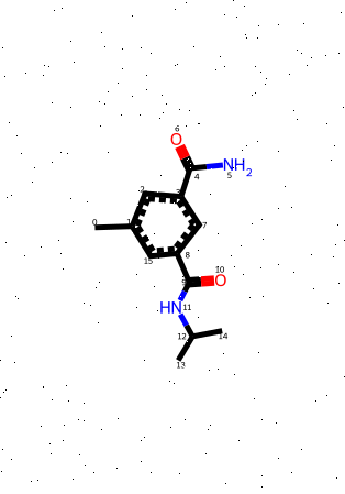 Cc1cc(C(N)=O)cc(C(=O)NC(C)C)c1